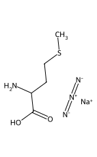 CSCCC(N)C(=O)O.[N-]=[N+]=[N-].[Na+]